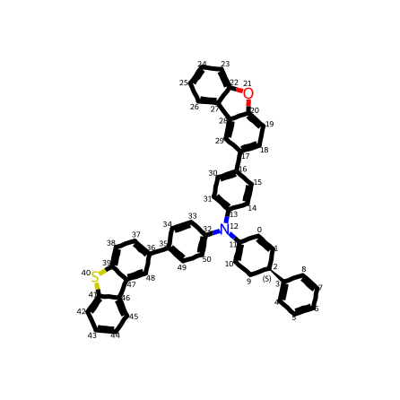 C1=C[C@@H](c2ccccc2)CC=C1N(c1ccc(-c2ccc3oc4ccccc4c3c2)cc1)c1ccc(-c2ccc3sc4ccccc4c3c2)cc1